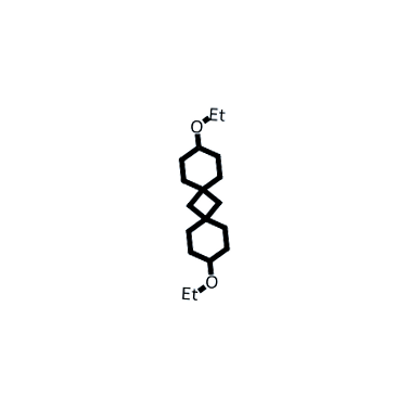 CCOC1CCC2(CC1)CC1(CCC(OCC)CC1)C2